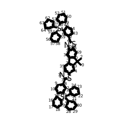 CC1(C)c2cc3sc(-c4cccc([Si](c5ccccc5)(c5ccccc5)c5ccccc5)c4)nc3cc2-c2cc3nc(-c4cccc([Si](c5ccccc5)(c5ccccc5)c5ccccc5)c4)sc3cc21